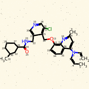 C=CN(/C=C\C)c1cc(C)nc2c(OCc3c(Cl)cncc3CNC(=O)C3CCCC(C)C3)cccc12